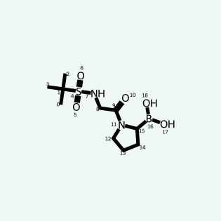 CC(C)(C)S(=O)(=O)NCC(=O)N1CCCC1B(O)O